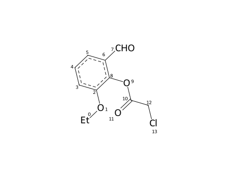 CCOc1cccc(C=O)c1OC(=O)CCl